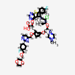 C#C/C1=C(Cl)\C(C)=C(/CC)c2c(-c3ccc(F)cc3)sc3ncnc(c23)O[C@@H](C(=O)O)Cc2cc(ccc2OCc2ccnc([C@H]3CC[C@@](F)(COC[C@H]4COCCO4)CC3)n2)OC[C@@H](CN2CCN(C)CC2)O1